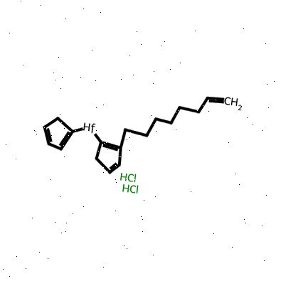 C=CCCCCCCC1=[C]([Hf][C]2=CC=CC2)CC=C1.Cl.Cl